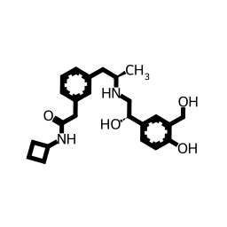 C[C@H](Cc1cccc(CC(=O)NC2CCC2)c1)NC[C@@H](O)c1ccc(O)c(CO)c1